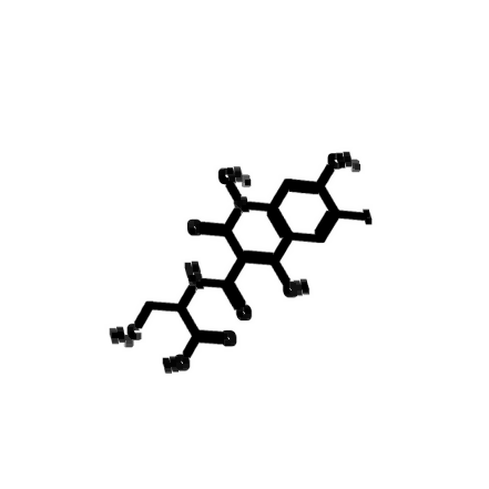 CCC(NC(=O)c1c(O)c2cc(I)c(C)cc2n(C)c1=O)C(=O)O